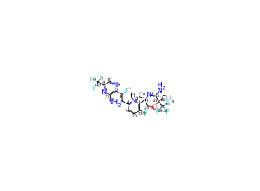 C[C@@]1(c2nc(/C=C(\F)c3ncc(C(F)(F)F)nc3N)ccc2F)CO[C@@](C)(C(F)(F)F)C(N)=N1